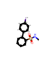 CNS(=O)(=O)c1ccccc1-c1ccc(I)cc1